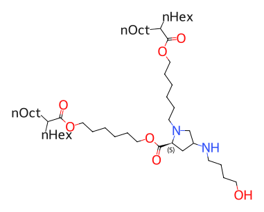 CCCCCCCCC(CCCCCC)C(=O)OCCCCCCOC(=O)[C@@H]1CC(NCCCCO)CN1CCCCCCOC(=O)C(CCCCCC)CCCCCCCC